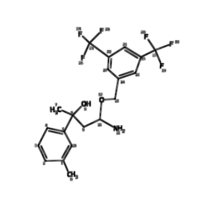 Cc1cccc(C(C)(O)CC(N)OCc2cc(C(F)(F)F)cc(C(F)(F)F)c2)c1